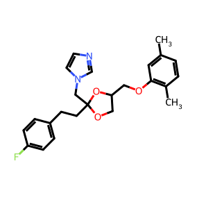 Cc1ccc(C)c(OCC2COC(CCc3ccc(F)cc3)(Cn3ccnc3)O2)c1